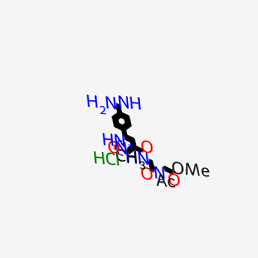 COC(=O)CN(C(C)=O)C(=O)CNC(=O)C1=C[N+](C)([O-])NC(c2ccc(C(=N)N)cc2)=C1.Cl